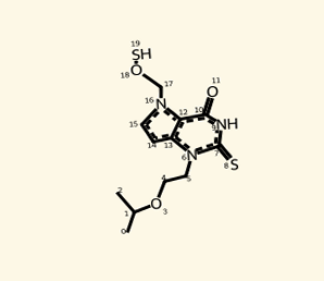 CC(C)OCCn1c(=S)[nH]c(=O)c2c1ccn2COS